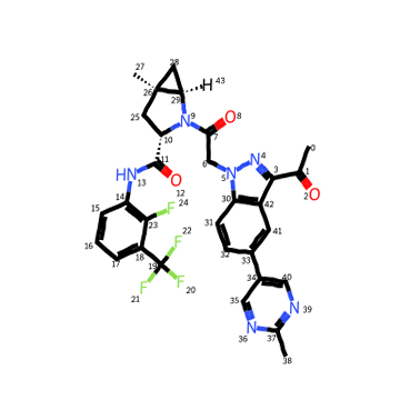 CC(=O)c1nn(CC(=O)N2[C@H](C(=O)Nc3cccc(C(F)(F)F)c3F)C[C@@]3(C)C[C@@H]23)c2ccc(-c3cnc(C)nc3)cc12